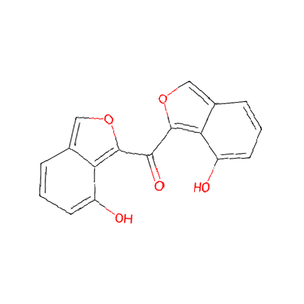 O=C(c1occ2cccc(O)c12)c1occ2cccc(O)c12